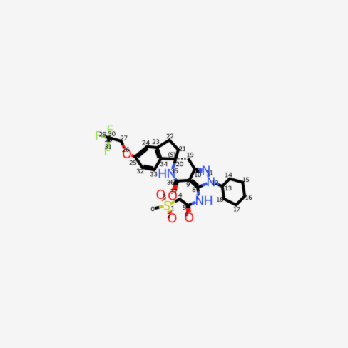 CS(=O)(=O)CC(=O)Nc1c2c(nn1C1CCCCC1)C[C@]1(CCc3cc(OCC(F)(F)F)ccc31)NC2=O